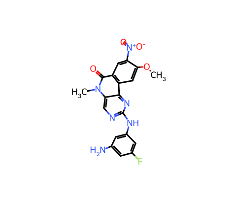 COc1cc2c(cc1[N+](=O)[O-])c(=O)n(C)c1cnc(Nc3cc(N)cc(F)c3)nc21